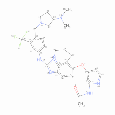 CC(=O)Nc1cc(Oc2ccc3nc(Nc4ccc(CN5CCC(N(C)C)C5)c(C(F)(F)F)c4)n4c3c2CCC4)ccn1